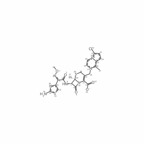 CO/N=C(\C(=O)N[C@@H]1C(=O)N2C(C(=O)[O-])=C(Cn3cc[n+]4c(Cl)ccc-4c3C)CS[C@H]12)c1csc(N)n1